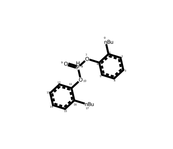 CCCCc1ccccc1O[PH](=O)Oc1ccccc1CCCC